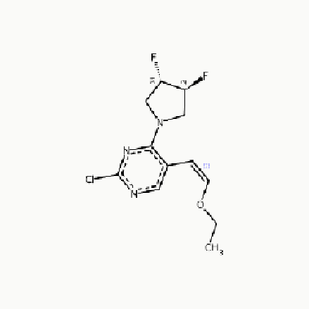 CCO/C=C\c1cnc(Cl)nc1N1C[C@H](F)[C@@H](F)C1